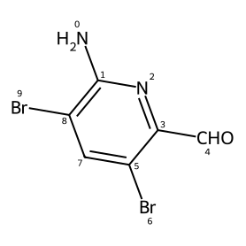 Nc1nc(C=O)c(Br)cc1Br